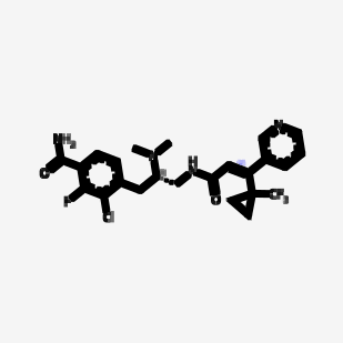 CN(C)[C@H](CNC(=O)/C=C(/c1cccnc1)C1(C(F)(F)F)CC1)Cc1ccc(C(N)=O)c(F)c1Cl